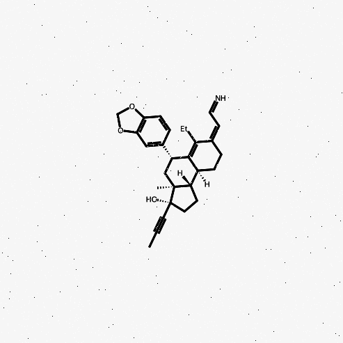 CC#C[C@]1(O)CC[C@H]2[C@@H]3CC/C(=C/C=N)C(CC)=C3[C@@H](c3ccc4c(c3)OCO4)C[C@@]21C